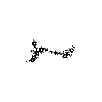 O=C(COCCOCCCc1ccc(-c2nn(-c3nc4cc(Cl)ccc4[nH]3)c(O)c2CCc2ccc(F)cc2)cc1)NCCNc1cccc2c1C(=O)N(C1CCC(=O)NC1=O)C2=O